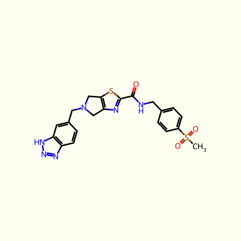 CS(=O)(=O)c1ccc(CNC(=O)c2nc3c(s2)CN(Cc2ccc4nn[nH]c4c2)C3)cc1